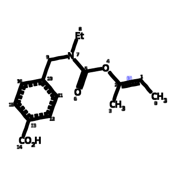 C/C=C(\C)OC(=O)N(CC)Cc1ccc(C(=O)O)cc1